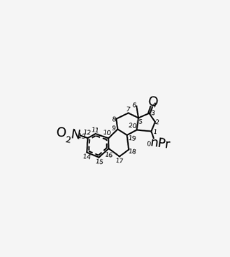 CCCC1CC(=O)C2(C)CCC3c4cc([N+](=O)[O-])ccc4CCC3C12